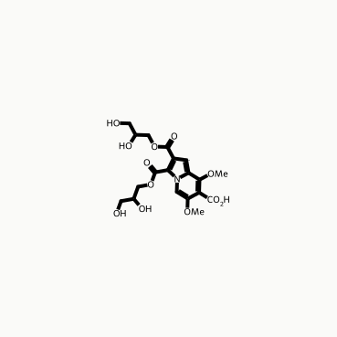 COc1cn2c(C(=O)OCC(O)CO)c(C(=O)OCC(O)CO)[c]c2c(OC)c1C(=O)O